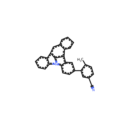 Cc1ccc(C#N)cc1-c1ccc2c(c1)c1c3ccccc3cc3c4ccccc4n2c31